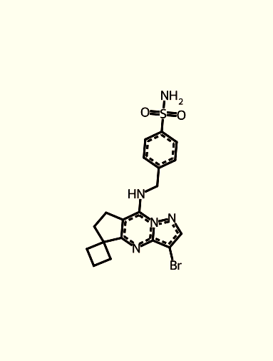 NS(=O)(=O)c1ccc(CNc2c3c(nc4c(Br)cnn24)C2(CCC2)CC3)cc1